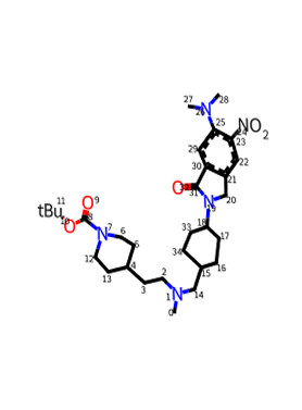 CN(CCC1CCN(C(=O)OC(C)(C)C)CC1)CC1CCC(N2Cc3cc([N+](=O)[O-])c(N(C)C)cc3C2=O)CC1